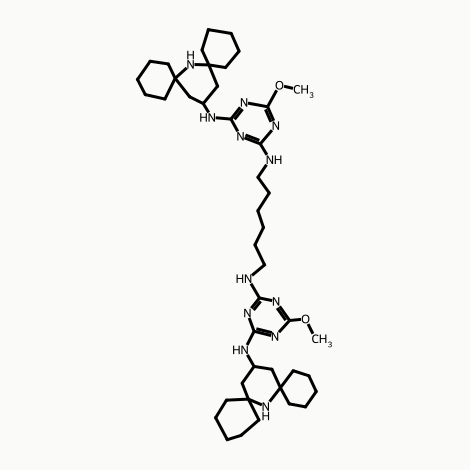 COc1nc(NCCCCCCNc2nc(NC3CC4(CCCCC4)NC4(CCCCC4)C3)nc(OC)n2)nc(NC2CC3(CCCCC3)NC3(CCCCC3)C2)n1